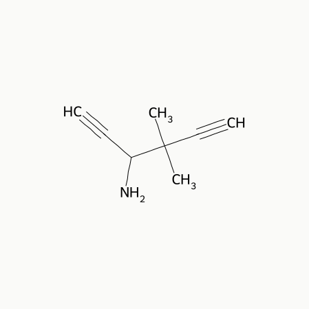 C#CC(N)C(C)(C)C#C